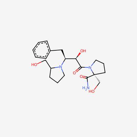 NC(=O)[C@]1(CO)CCCN1C(=O)[C@H](O)[C@H](Cc1ccccc1)N1CCCC1CO